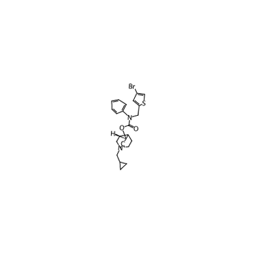 O=C(O[C@H]1C[N+]2(CC3CC3)CCC1CC2)N(Cc1cc(Br)cs1)c1ccccc1